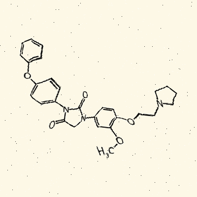 COc1cc(N2CC(=O)N(c3ccc(Oc4ccccc4)cc3)C2=O)ccc1OCCN1CCCC1